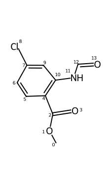 COC(=O)c1ccc(Cl)cc1NC=O